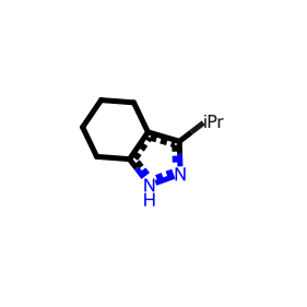 CC(C)c1n[nH]c2c1CCCC2